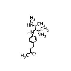 C=C(N)C(Nc1ccc(CCC(C)=O)cc1)C(C)NC